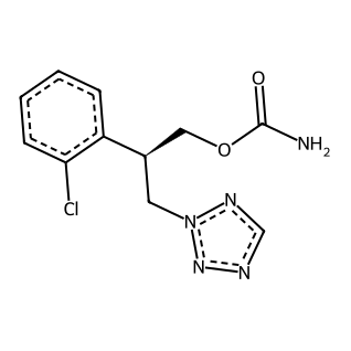 NC(=O)OC[C@@H](Cn1ncnn1)c1ccccc1Cl